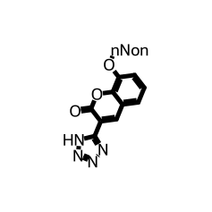 CCCCCCCCCOc1cccc2cc(-c3nnn[nH]3)c(=O)oc12